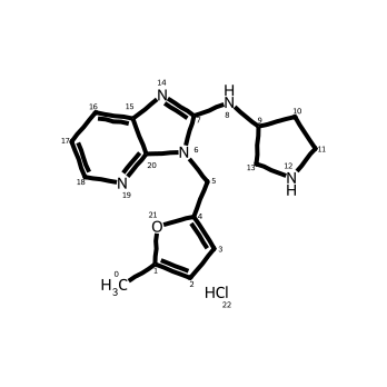 Cc1ccc(Cn2c(NC3CCNC3)nc3cccnc32)o1.Cl